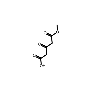 COC(=O)CC(=O)CC(=O)O